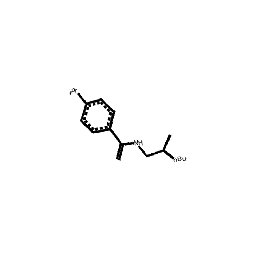 C=C(NCC(C)CCCC)c1ccc(C(C)C)cc1